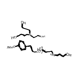 COc1ccc(C=CC(=O)O)cc1.OCCN(CCO)CCO.OCCNCCO